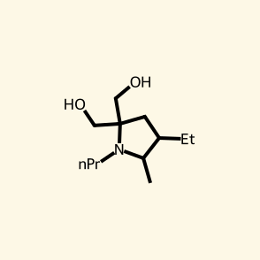 CCCN1C(C)C(CC)CC1(CO)CO